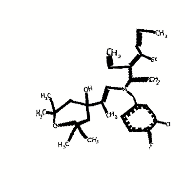 C=C/C(C(=C)N(/C=C(\C)C1(O)CC(C)(C)OC(C)(C)C1)c1ccc(F)c(Cl)c1)=C(\C=C/C)CC